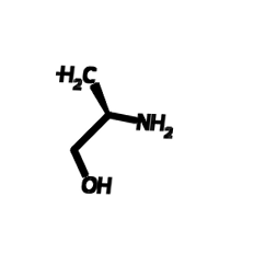 [CH2][C@@H](N)CO